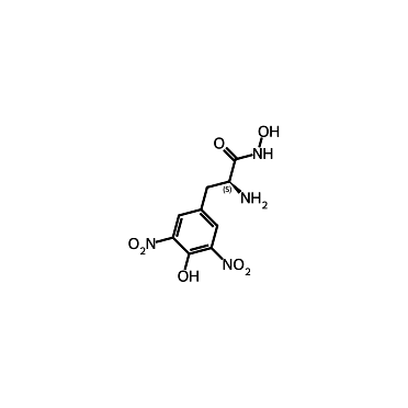 N[C@@H](Cc1cc([N+](=O)[O-])c(O)c([N+](=O)[O-])c1)C(=O)NO